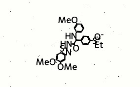 CC[S+]([O-])c1ccc(C(Nc2cccc(OC)c2)C(=O)Nc2nc3cc(OC)c(OC)cc3s2)cc1